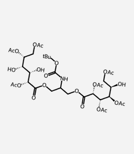 CC(=O)OC[C@@H](O)[C@@H](OC(C)=O)[C@H](OC(C)=O)[C@@H](OC(C)=O)C(=O)OCC(COC(=O)[C@H](OC(C)=O)[C@@H](O)[C@H](O)[C@@H](COC(C)=O)OC(C)=O)NC(=O)OC(C)(C)C